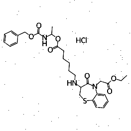 CCOC(=O)CN1C(=O)C(NCCCCCC(=O)OC(C)NC(=O)OCc2ccccc2)CSc2ccccc21.Cl